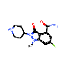 CCn1c2cc(F)cc(C(N)=O)c2c(=O)n1C1CCNCC1